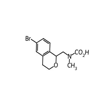 CN(CC1OCCc2cc(Br)ccc21)C(=O)O